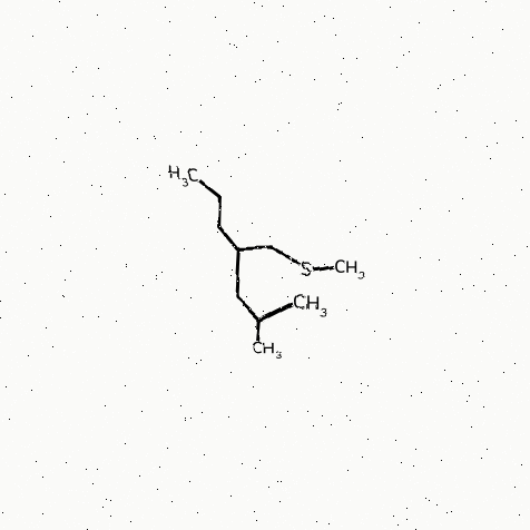 CCCC(CSC)CC(C)C